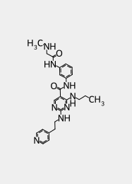 CCCNc1nc(NCCc2ccncc2)ncc1C(=O)Nc1cccc(NC(=O)CNC)c1